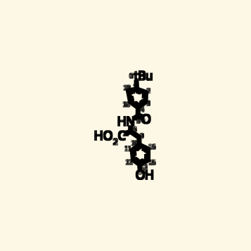 CC(C)(C)c1ccc(C(=O)NC(Cc2ccc(O)cc2)C(=O)O)cc1